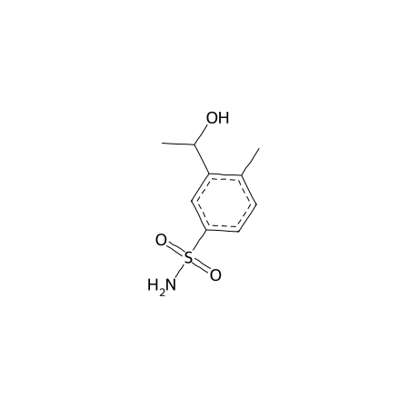 Cc1ccc(S(N)(=O)=O)cc1C(C)O